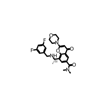 C[C@H](NCc1cc(F)cc(F)c1)c1cc(C(=O)N(C)C)cc2c(=O)cc(N3CCOCC3)oc12